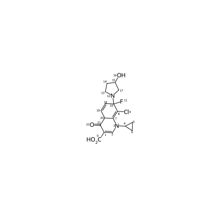 O=C(O)C1=CN(C2CC2)C2=C(Cl)C(F)(N3CCC(O)C3)C=CC2C1=O